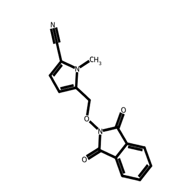 Cn1c(C#N)ccc1CON1C(=O)c2ccccc2C1=O